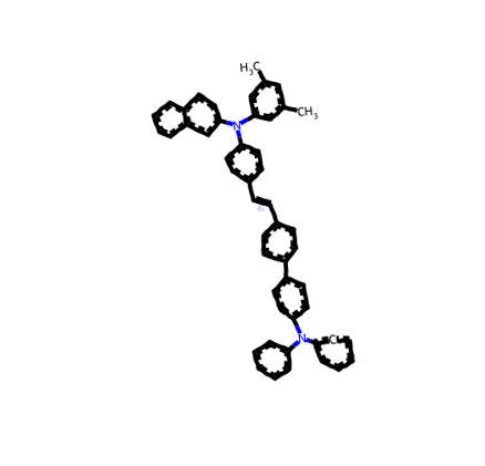 Cc1cc(C)cc(N(c2ccc(/C=C/c3ccc(-c4ccc(N(c5ccccc5)c5ccccc5)cc4)cc3)cc2)c2ccc3ccccc3c2)c1